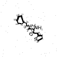 NN(C(=O)Cc1cccs1)C(=S)NC(=O)Cc1ccccc1